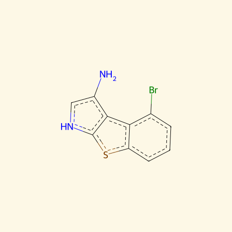 Nc1c[nH]c2sc3cccc(Br)c3c12